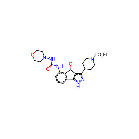 CCOC(=O)N1CCC(c2n[nH]c3c2C(=O)c2c(NC(=O)NN4CCOCC4)cccc2-3)CC1